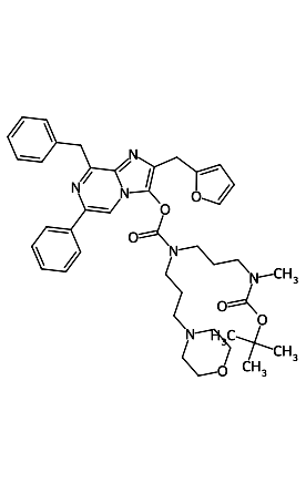 CN(CCCN(CCCN1CCOCC1)C(=O)Oc1c(Cc2ccco2)nc2c(Cc3ccccc3)nc(-c3ccccc3)cn12)C(=O)OC(C)(C)C